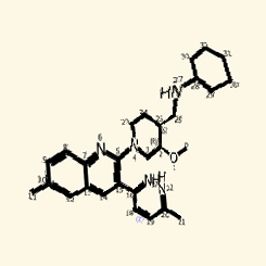 CO[C@H]1CN(c2nc3ccc(C)cc3cc2C(=N)/C=C\C(C)=N)CC[C@H]1CNC1CCCCC1